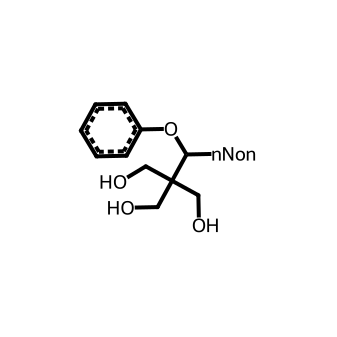 CCCCCCCCCC(Oc1ccccc1)C(CO)(CO)CO